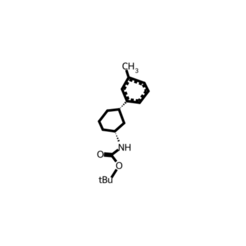 Cc1cccc([C@H]2CCC[C@@H](NC(=O)OC(C)(C)C)C2)c1